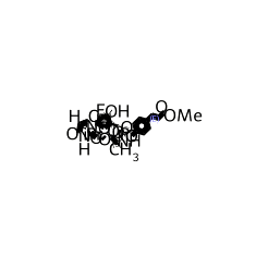 COC(=O)/C=C/c1ccc(OP(=O)(N[C@@H](C)C(=O)OC(C)C)OC[C@H]2O[C@@H](n3ccc(=O)[nH]c3=O)[C@](C)(F)[C@@H]2O)cc1